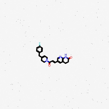 O=C1CCc2cc(/C=C/C(=O)N3CC=C(Cc4ccc(F)cc4)CC3)cnc2N1